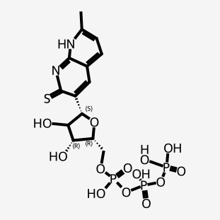 Cc1ccc2cc([C@@H]3O[C@H](COP(=O)(O)OP(=O)(O)OP(=O)(O)O)[C@H](O)C3O)c(=S)nc-2[nH]1